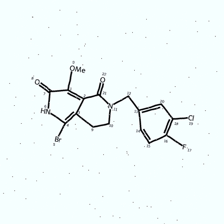 COc1c2c(c(Br)[nH]c1=O)CCN(Cc1ccc(F)c(Cl)c1)C2=O